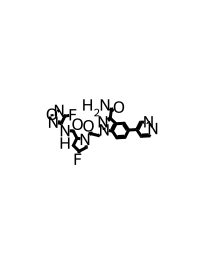 NC(=O)c1nn(CC(=O)N2CC(F)CC2C(=O)Nc2nonc2F)c2ccc(-c3ccnnc3)cc12